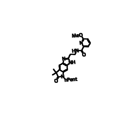 CCCCCN1C(=O)C(C)(C)c2cc3nc(CCNC(=O)c4cccc(OC)n4)[nH]c3cc21